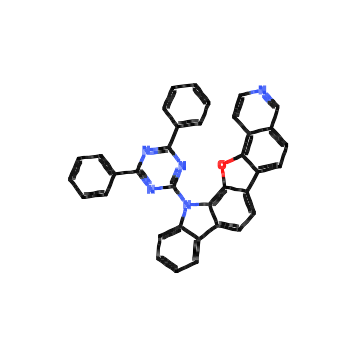 c1ccc(-c2nc(-c3ccccc3)nc(-n3c4ccccc4c4ccc5c6ccc7cnccc7c6oc5c43)n2)cc1